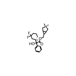 C[N+]1(C)CC2C(COC(=O)[C@](O)(c3ccccc3)[C@H]3CCCC(F)(F)C3)C2C1